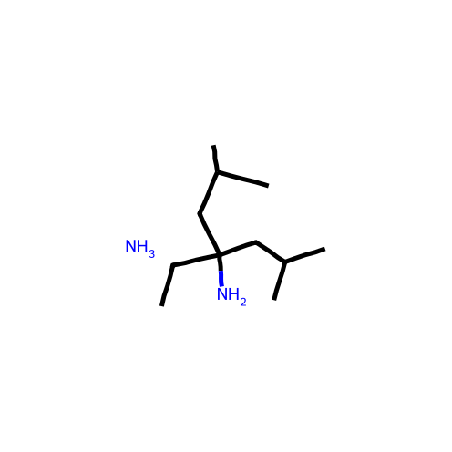 CCC(N)(CC(C)C)CC(C)C.N